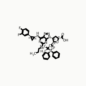 CCCSc1nc(N[C@@H]2C[C@H]2c2ccc(F)c(F)c2)c2nnn([C@@H]3C[C@H](C(=O)O)O[C@H]3CO[Si](c3ccccc3)(c3ccccc3)C(C)(C)C)c2n1